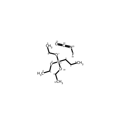 CCC[Si](OCC)(OCC)OCC.O=C=NF